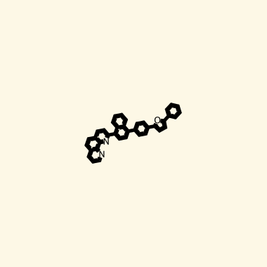 c1ccc(-c2ccc(-c3ccc(-c4ccc(-c5ccc6ccc7cccnc7c6n5)c5ccccc45)cc3)o2)cc1